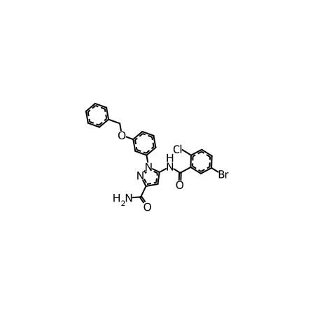 NC(=O)c1cc(NC(=O)c2cc(Br)ccc2Cl)n(-c2cccc(OCc3ccccc3)c2)n1